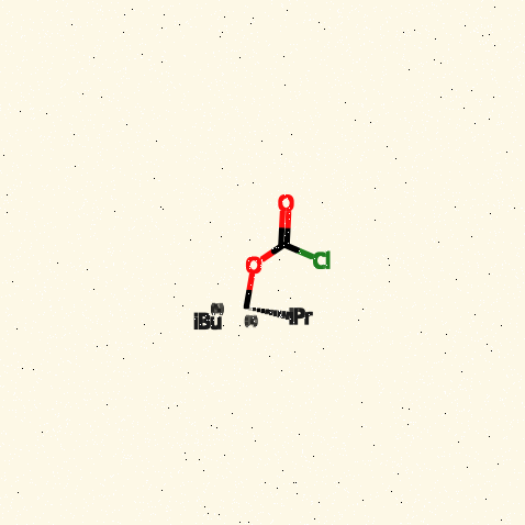 CC[C@H](C)[C@H](OC(=O)Cl)C(C)C